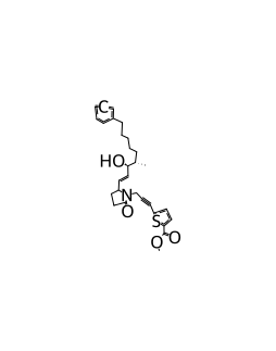 COC(=O)c1ccc(C#CCN2C(=O)CCC2C=C[C@@H](O)[C@@H](C)CCCCCc2ccccc2)s1